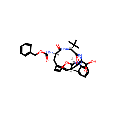 CC(C)(C)[C@@H]1NC(=O)[C@@H](NC(=O)OCc2ccccc2)Cc2ccc3c(c2)[C@@]2(c4ccccc4N[C@@H]2O3)c2oc1nc2C(=O)O